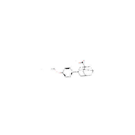 CCCCOC(=O)C12CC3CC(C1)CC(c1ccc(OCC(=O)O)cc1)(C3)C2